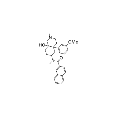 COc1cccc(C23CCN(C)CC2(O)CCC(N(C)C(=O)c2ccc4ccccc4c2)C3)c1